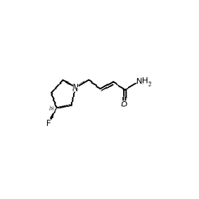 NC(=O)C=CCN1CC[C@H](F)C1